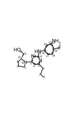 CCCc1cc(N2CCC[C@H]2CO)nc(Nc2ccc(F)c(N)c2)n1